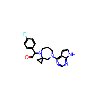 O=CC(c1ccc(F)cc1)N1CCCN(c2ncnc3[nH]ccc23)CC12CC2